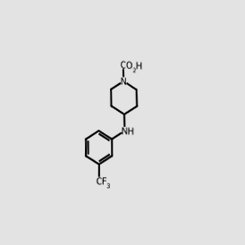 O=C(O)N1CCC(Nc2cccc(C(F)(F)F)c2)CC1